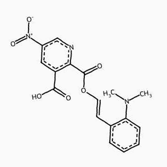 CN(C)c1ccccc1C=COC(=O)c1ncc([N+](=O)[O-])cc1C(=O)O